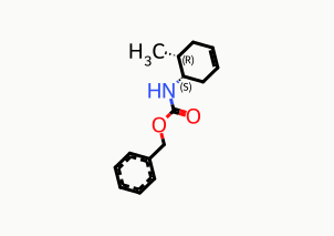 C[C@@H]1CC=CC[C@@H]1NC(=O)OCc1ccccc1